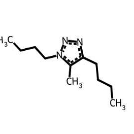 CCCCc1nnn(CCCC)c1C